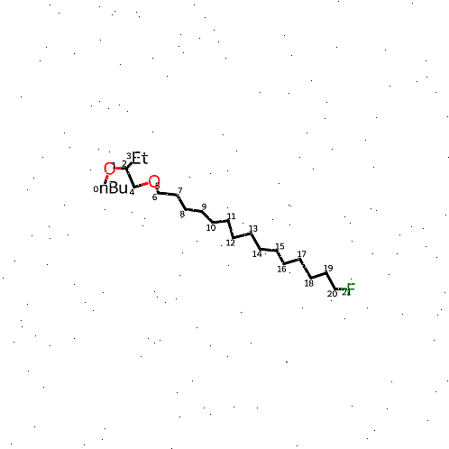 CCCCOC(CC)COCCCCCCCCCCCCCCCF